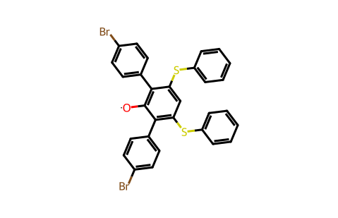 [O]c1c(-c2ccc(Br)cc2)c(Sc2ccccc2)cc(Sc2ccccc2)c1-c1ccc(Br)cc1